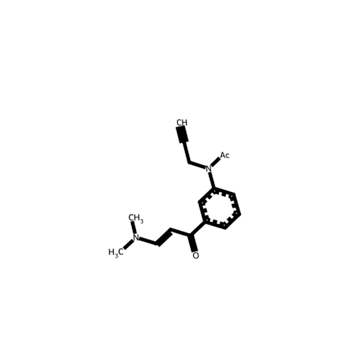 C#CCN(C(C)=O)c1cccc(C(=O)C=CN(C)C)c1